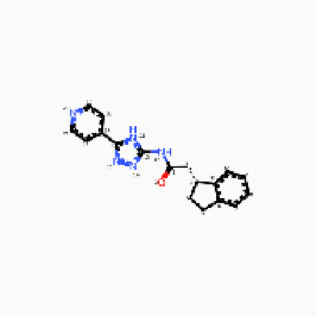 O=C(C[C@H]1CCc2ccccc21)Nc1nnc(-c2ccncc2)[nH]1